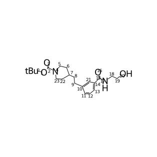 CC(C)(C)OC(=O)N1CCC(CCc2cccc(C(=O)NCCO)c2)CC1